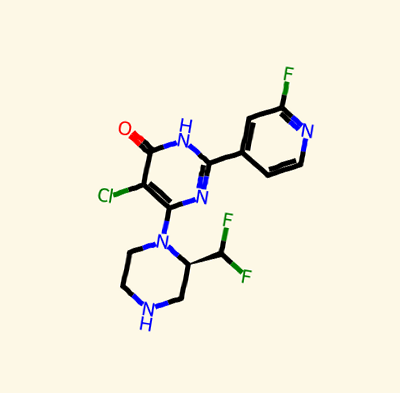 O=c1[nH]c(-c2ccnc(F)c2)nc(N2CCNC[C@@H]2C(F)F)c1Cl